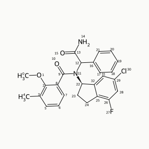 COc1c(C)cccc1C(=O)N(C(C(N)=O)c1ccccc1)[C@@H]1CCc2c(F)cc(Cl)cc21